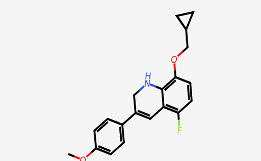 COc1ccc(C2=Cc3c(F)ccc(OCC4CC4)c3NC2)cc1